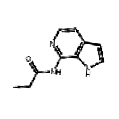 CCC(=O)Nc1nccc2cc[nH]c12